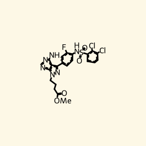 COC(=O)CCCn1nc(-c2ccc(NS(=O)(=O)c3cccc(Cl)c3Cl)c(F)c2)c2c(N)ncnc21